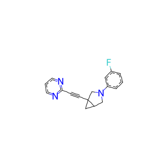 Fc1cccc(N2CC3CC3(C#Cc3ncccn3)C2)c1